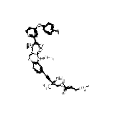 CN1C(=O)[C@H](NC(=O)c2cc(Oc3ccc(F)cc3)ccn2)COc2ccc(C#CC(C)(C)COC(=O)CCC(=O)O)cc21